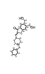 O=C1/C(=C/C2CCN(Cc3ccccc3)CC2)Cc2cc(CO)c(CO)cc21